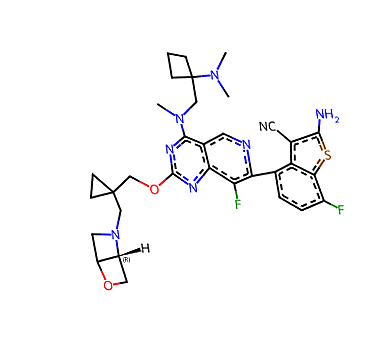 CN(CC1(N(C)C)CCC1)c1nc(OCC2(CN3CC4OC[C@H]43)CC2)nc2c(F)c(-c3ccc(F)c4sc(N)c(C#N)c34)ncc12